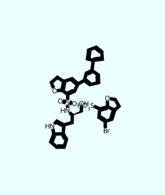 O=S(=O)(N[C@@H](CO)Cc1c[nH]c2ccccc12)c1cc(-c2cccc(-c3ccccc3)c2)cc2c1OCC2.O=S(=O)(O)c1cc(Br)cc2c1OCC2